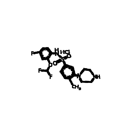 Cc1ccc(S(=O)(=O)Nc2ccc(F)cc2OC(F)F)cc1N1CCNCC1.Cl